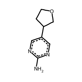 Nc1ncc(C2CCOC2)cn1